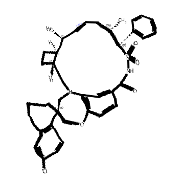 C[C@H]1C/C=C/[C@H](O)[C@@H]2CC[C@H]2CN2C[C@@]3(CCCc4cc(Cl)ccc43)COc3ccc(cc32)C(=O)NS(=O)(=O)[C@H]1c1ccccc1